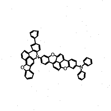 c1ccc(-c2ccc(N(c3ccc4c(c3)Oc3ccc5c6c(ccc-4c36)Oc3cc(N(c4ccccc4)c4ccccc4)ccc3-5)c3ccc4oc5ccccc5c4c3)c(-c3ccccc3)c2)cc1